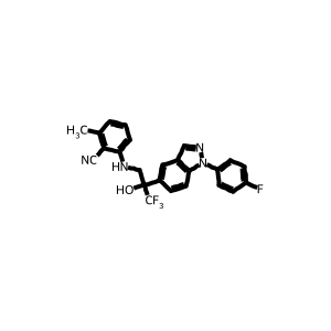 Cc1cccc(NCC(O)(c2ccc3c(cnn3-c3ccc(F)cc3)c2)C(F)(F)F)c1C#N